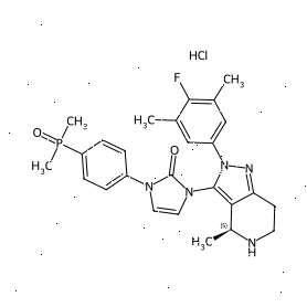 Cc1cc(-n2nc3c(c2-n2ccn(-c4ccc(P(C)(C)=O)cc4)c2=O)[C@H](C)NCC3)cc(C)c1F.Cl